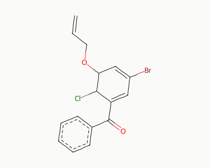 C=CCOC1C=C(Br)C=C(C(=O)c2ccccc2)C1Cl